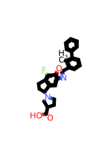 Cc1c(-c2ccccc2)cccc1-c1nc2cc3c(c(F)c2o1)CCC3N1CCC(C(=O)O)C1